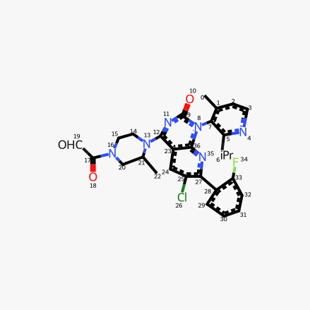 Cc1ccnc(C(C)C)c1-n1c(=O)nc(N2CCN(C(=O)C=O)CC2C)c2cc(Cl)c(-c3ccccc3F)nc21